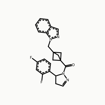 O=C(N1N=CCC1c1ccc(F)cc1F)C12CC(Cn3ncc4ccccc43)(C1)C2